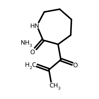 C=C(C)C(=O)C1CCCCNC1=O.N